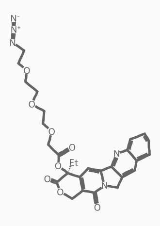 CC[C@@]1(OC(=O)COCCOCCOCCN=[N+]=[N-])C(=O)OCc2c1cc1n(c2=O)Cc2cc3ccccc3nc2-1